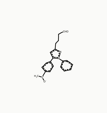 C[S+]([O-])c1ccc(-c2cc(CCCC=O)nn2-c2ccccc2)cc1